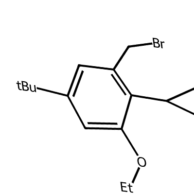 CCOc1cc(C(C)(C)C)cc(CBr)c1C1CC1